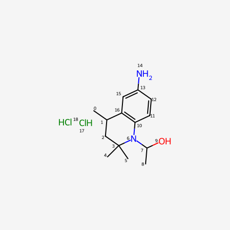 CC1CC(C)(C)N(C(C)O)c2ccc(N)cc21.Cl.Cl